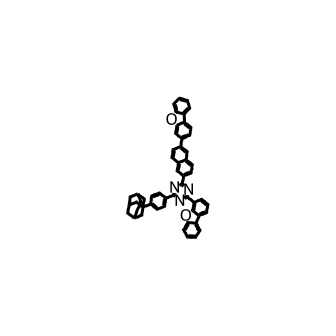 c1ccc2c(c1)oc1cc(-c3ccc4cc(-c5nc(-c6ccc(C78CC9CC(CC(C9)C7)C8)cc6)nc(-c6cccc7c6oc6ccccc67)n5)ccc4c3)ccc12